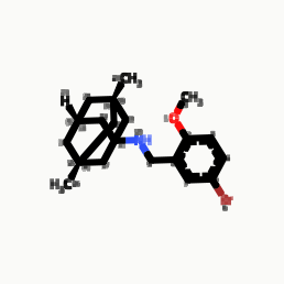 COc1ccc(Br)cc1CNC12C[C@@H]3C[C@@](C)(C1)C[C@](C)(C3)C2